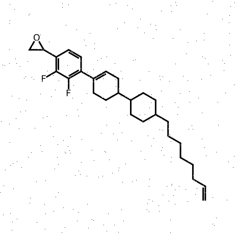 C=CCCCCCCC1CCC(C2CC=C(c3ccc(C4CO4)c(F)c3F)CC2)CC1